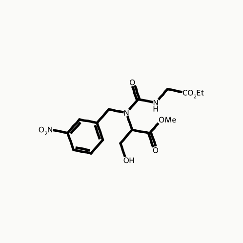 CCOC(=O)CNC(=O)N(Cc1cccc([N+](=O)[O-])c1)C(CO)C(=O)OC